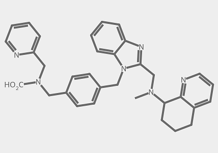 CN(Cc1nc2ccccc2n1Cc1ccc(CN(Cc2ccccn2)C(=O)O)cc1)C1CCCc2cccnc21